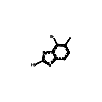 Cc1ccc2oc(S)nc2c1Br